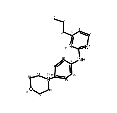 [CH2]CCc1ccnc(Nc2ccc(N3CCOCC3)cc2)n1